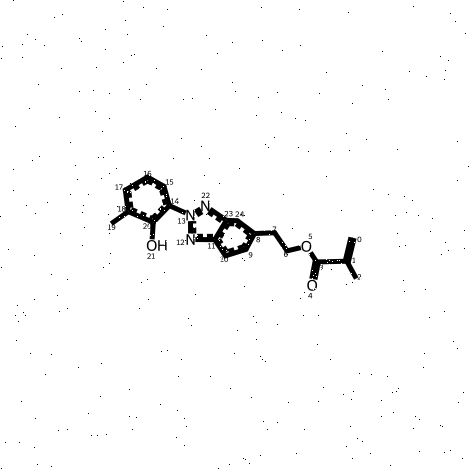 C=C(C)C(=O)OCCc1ccc2nn(-c3cccc(C)c3O)nc2c1